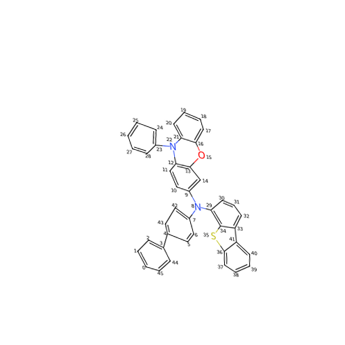 c1ccc(-c2ccc(N(c3ccc4c(c3)Oc3ccccc3N4c3ccccc3)c3cccc4c3sc3ccccc34)cc2)cc1